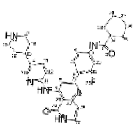 O=C(Nc1ccc(-c2cc(Nc3ccc(C4CCNCC4)cn3)c3c(=O)[nH]ccc3n2)c(F)c1)C1CCCCC1